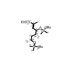 CCOC(=O)/C(C)=C/[C@@H](O[Si](C)(C)C(C)(C)C)[C@H](C)C[C@@H](C)O[Si](C)(C)C(C)(C)C